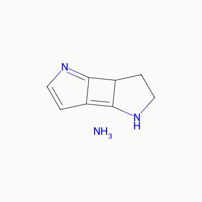 C1=CC2=C3NCCC3C2=N1.N